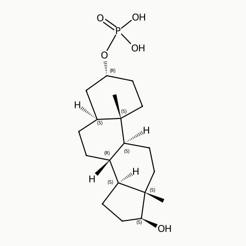 C[C@]12CC[C@@H](OP(=O)(O)O)C[C@@H]1CC[C@@H]1[C@@H]2CC[C@]2(C)[C@@H](O)CC[C@@H]12